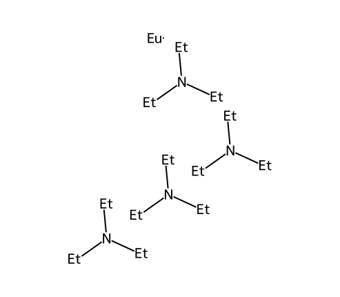 CCN(CC)CC.CCN(CC)CC.CCN(CC)CC.CCN(CC)CC.[Eu]